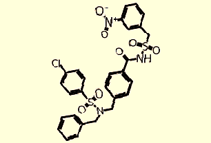 O=C(NS(=O)(=O)Cc1cccc([N+](=O)[O-])c1)c1ccc(CN(Cc2ccccc2)S(=O)(=O)c2ccc(Cl)cc2)cc1